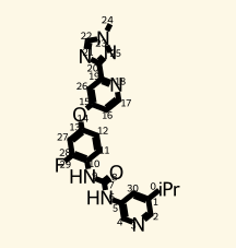 CC(C)c1cncc(NC(=O)Nc2ccc(Oc3ccnc(-c4ncn(C)n4)c3)cc2F)c1